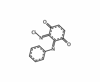 O=c1ccc(=O)c(=Nc2ccccc2)c1=NCl